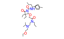 CCCC(NC(=O)N1C(=O)C(CC)(CC)C1OCC(=O)N(CCC)CCN(CCOCC)C(C)C)c1ccc(C)cc1